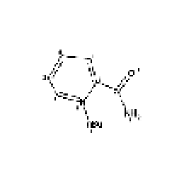 CCCC[n+]1ccccc1C(N)=O